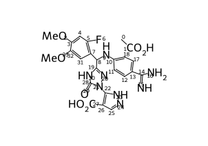 CC(=O)O.COc1cc(F)c(C(Nc2ccc(C(=N)N)cc2)c2nn(-c3[nH]ncc3C(=O)O)c(=O)[nH]2)cc1OC